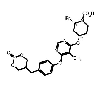 Cc1c(Oc2ccc(CC3COS(=O)OC3)cc2)ncnc1O[C@H]1CCN(C(=O)O)[C@@H](C(C)C)C1